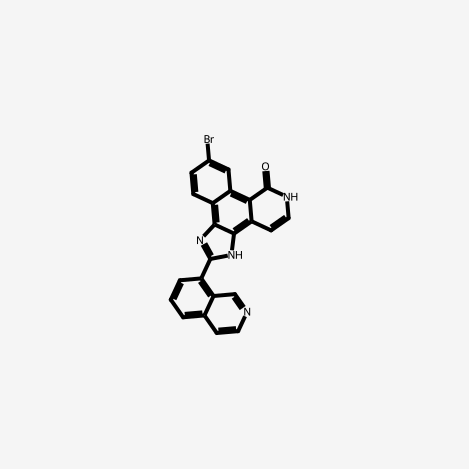 O=c1[nH]ccc2c3[nH]c(-c4cccc5ccncc45)nc3c3ccc(Br)cc3c12